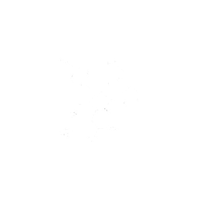 COC(=O)c1ccccc1-c1cc(-c2ccc(C)cc2)c(CN)c(CC(C)C)n1.Cl.Cl